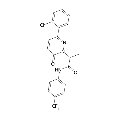 CC(C(=O)Nc1ccc(C(F)(F)F)cc1)n1nc(-c2ccccc2Cl)ccc1=O